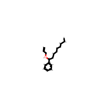 C=CCOC(CCCCCCCC)c1ccccc1